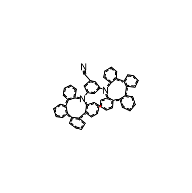 N#Cc1cc(-n2c3ccccc3c3ccccc3c3ccccc3c3ccccc32)cc(-n2c3ccccc3c3ccccc3c3ccccc3c3ccccc32)c1